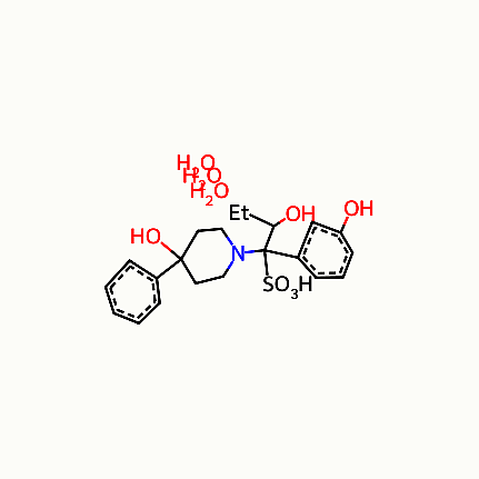 CCC(O)C(c1cccc(O)c1)(N1CCC(O)(c2ccccc2)CC1)S(=O)(=O)O.O.O.O